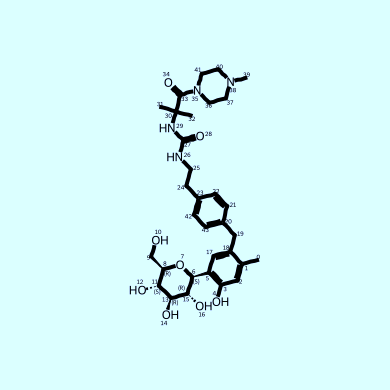 Cc1cc(O)c([C@@H]2O[C@H](CO)[C@@H](O)[C@H](O)[C@H]2O)cc1Cc1ccc(CCNC(=O)NC(C)(C)C(=O)N2CCN(C)CC2)cc1